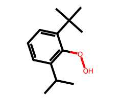 CC(C)c1cccc(C(C)(C)C)c1OO